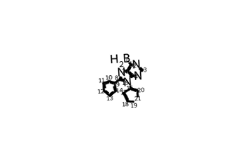 Bc1ncnc2c1nc(-c1ccccc1)n2C(/C=C\C)=C/C